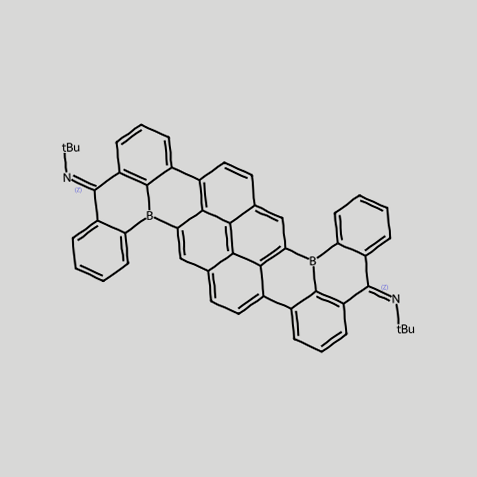 CC(C)(C)/N=C1/c2ccccc2B2c3c1cccc3-c1ccc3cc4c5c(ccc6cc2c1c3c65)-c1cccc2c1B4c1ccccc1/C2=N/C(C)(C)C